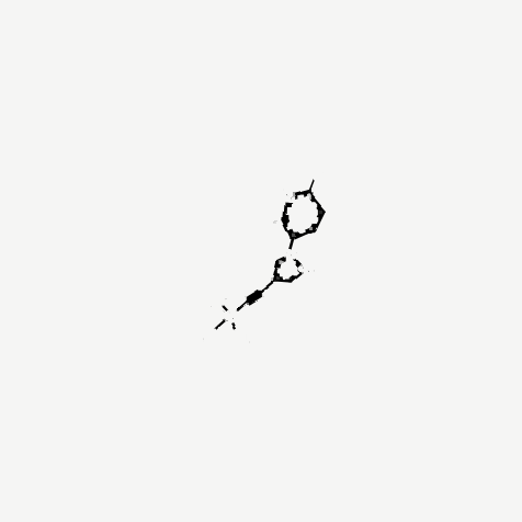 C[Si](C)(C)C#Cc1cnn(-c2ccc(F)nc2)c1